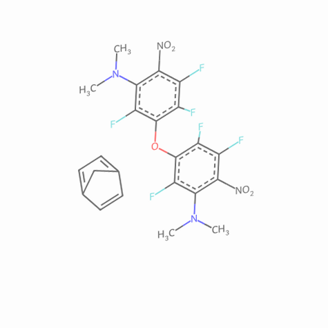 C1=CC2=CC=C1C2.CN(C)c1c(F)c(Oc2c(F)c(F)c([N+](=O)[O-])c(N(C)C)c2F)c(F)c(F)c1[N+](=O)[O-]